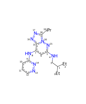 CCC(CC)CNc1cc(Nc2cccnn2)c2nnc(C(C)C)n2n1